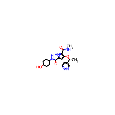 CNC(=O)c1[nH]c(C(=O)NC2CCC(O)CC2)cc1O[C@H](C)c1ccnnc1